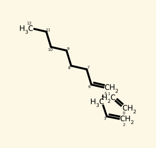 C=C.C=CC.C=CCCCCCC